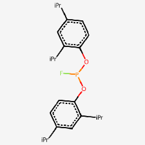 CC(C)c1ccc(OP(F)Oc2ccc(C(C)C)cc2C(C)C)c(C(C)C)c1